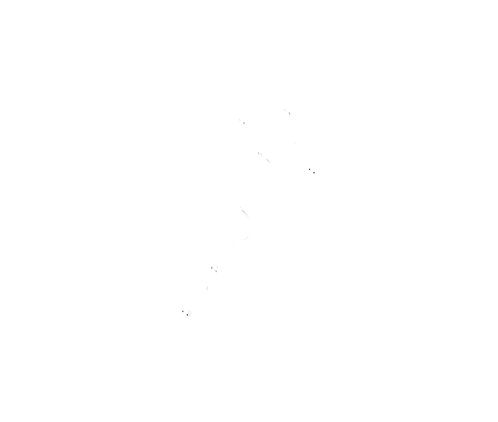 CCc1c(C#N)c(SCc2ccc(CNC(=O)CN)cc2)nc(N(C)C)c1C#N